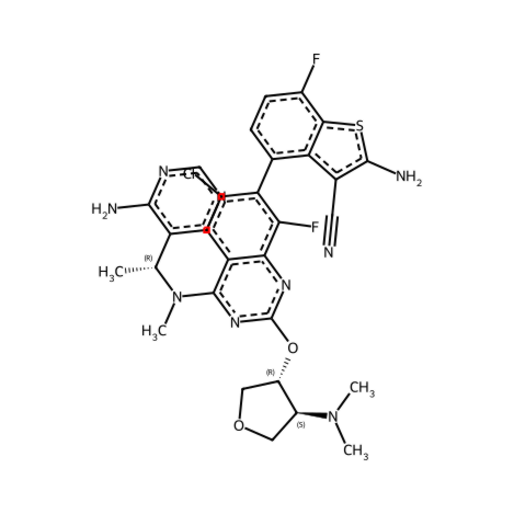 C[C@H](c1cncnc1N)N(C)c1nc(O[C@H]2COC[C@@H]2N(C)C)nc2c(F)c(-c3ccc(F)c4sc(N)c(C#N)c34)c(Cl)cc12